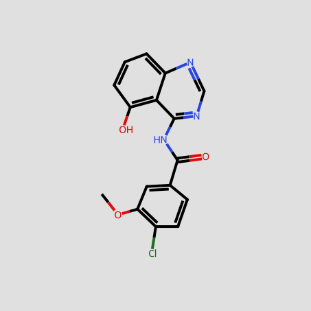 COc1cc(C(=O)Nc2ncnc3cccc(O)c23)ccc1Cl